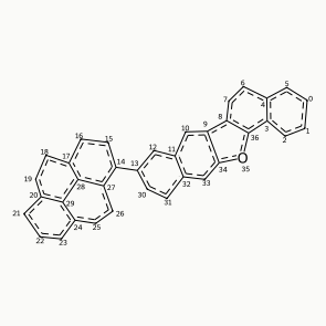 c1ccc2c(c1)ccc1c3cc4cc(-c5ccc6ccc7cccc8ccc5c6c78)ccc4cc3oc21